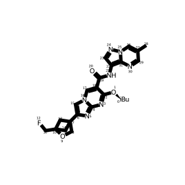 CC[C@H](C)Oc1nc2nc(C34COC(CF)(C3)C4)cn2cc1C(=O)Nc1cnn2cc(C)cnc12